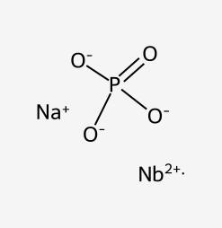 O=P([O-])([O-])[O-].[Na+].[Nb+2]